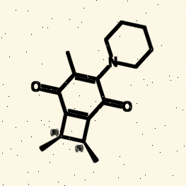 CC1=C(N2CCCCC2)C(=O)C2=C(C1=O)[C@H](C)[C@@H]2C